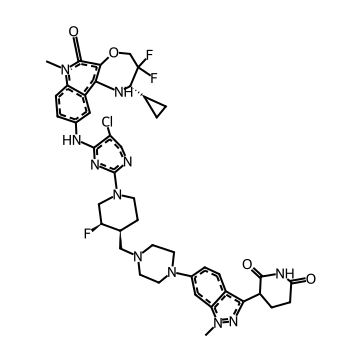 Cn1nc(C2CCC(=O)NC2=O)c2ccc(N3CCN(C[C@@H]4CCN(c5ncc(Cl)c(Nc6ccc7c(c6)c6c(c(=O)n7C)OCC(F)(F)[C@H](C7CC7)N6)n5)C[C@@H]4F)CC3)cc21